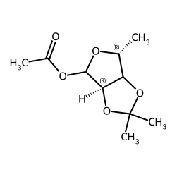 CC(=O)OC1O[C@H](C)C2OC(C)(C)O[C@@H]12